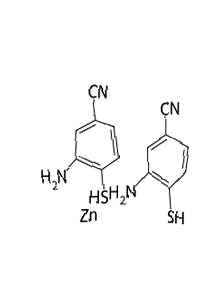 N#Cc1ccc(S)c(N)c1.N#Cc1ccc(S)c(N)c1.[Zn]